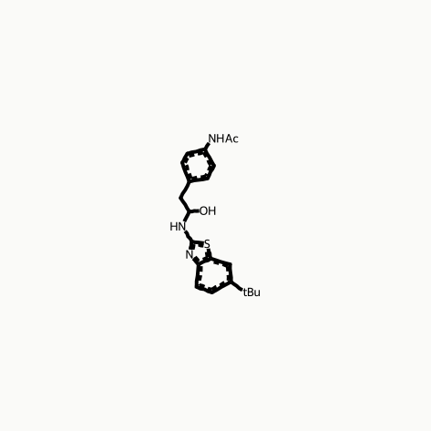 CC(=O)Nc1ccc(CC(O)Nc2nc3ccc(C(C)(C)C)cc3s2)cc1